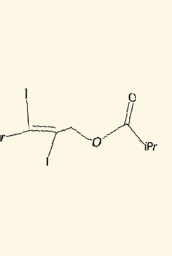 CC(C)C(=O)OCC(I)=C(Br)I